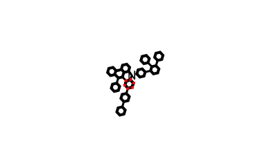 c1ccc(-c2ccc(-c3ccc(N(c4ccc(-c5cccc(-c6ccccc6)c5-c5ccccc5)cc4)c4cccc5c4c(-c4ccccc4)c(-c4ccccc4)c4ccccc45)cc3)cc2)cc1